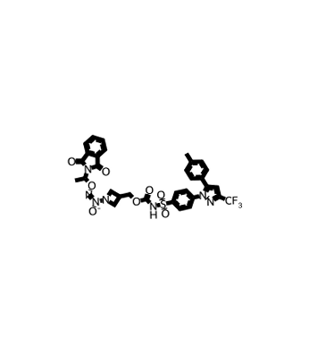 Cc1ccc(-c2cc(C(F)(F)F)nn2-c2ccc(S(=O)(=O)NC(=O)OCC3CN(/[N+]([O-])=N\OC(C)N4C(=O)c5ccccc5C4=O)C3)cc2)cc1